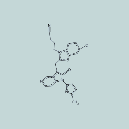 Cn1ccc(-n2c(=O)n(Cc3cc4cc(Cl)ccc4n3CCCC#N)c3cnccc32)n1